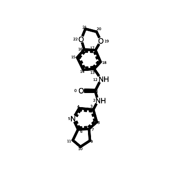 O=C(Nc1cnc2c(c1)CCC2)Nc1ccc2c(c1)OCCO2